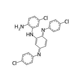 Nc1ccc(Cl)cc1NC1=CC(=Nc2ccc(Cl)cc2)C=CC1=Nc1ccc(Cl)cc1